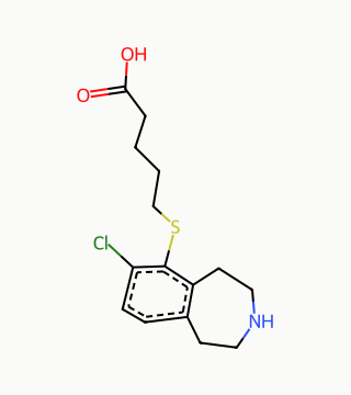 O=C(O)CCCCSc1c(Cl)ccc2c1CCNCC2